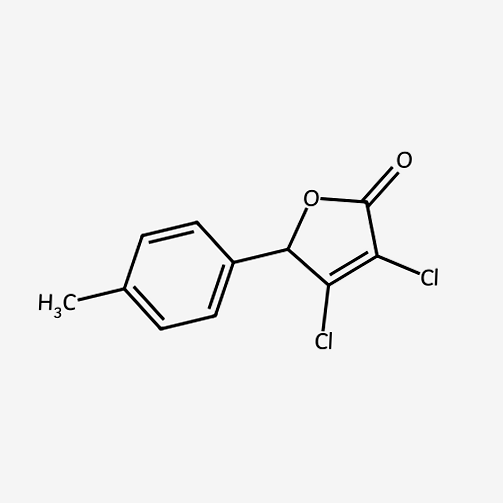 Cc1ccc(C2OC(=O)C(Cl)=C2Cl)cc1